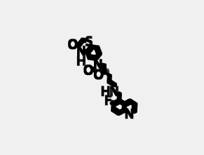 O=C1CSc2ccc(N3C[C@@H](CCCNCc4c(F)ccc5ncccc45)OC3=O)cc2N1